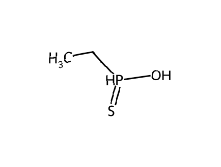 CC[PH](O)=S